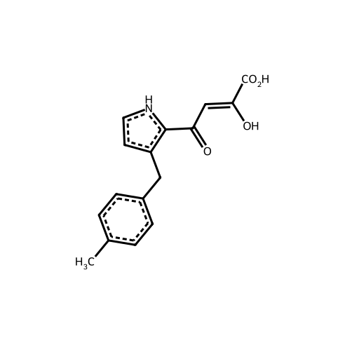 Cc1ccc(Cc2cc[nH]c2C(=O)C=C(O)C(=O)O)cc1